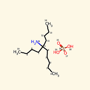 CCCCCC(N)(CCCC)CCCC.O=S(=O)(O)O